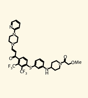 COCC(=O)N1CCC(Nc2cccc(Sc3ccc(C(=O)C=CN4CCN(c5ccccn5)CC4)c(C(F)(F)F)c3C(F)(F)F)c2)CC1